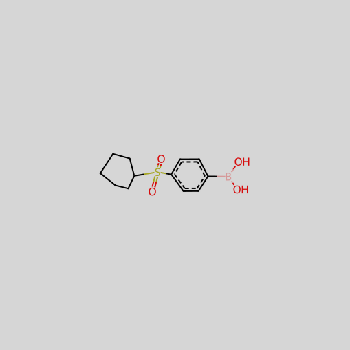 O=S(=O)(c1ccc(B(O)O)cc1)C1CCCCC1